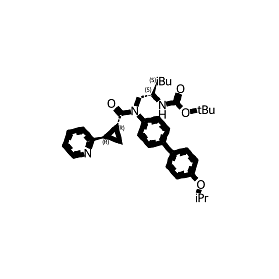 CC[C@H](C)[C@@H](CN(C(=O)[C@@H]1C[C@H]1c1ccccn1)c1ccc(-c2ccc(OC(C)C)cc2)cc1)NC(=O)OC(C)(C)C